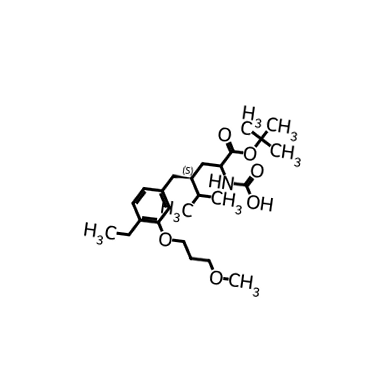 CCc1ccc(C[C@@H](CC(NC(=O)O)C(=O)OC(C)(C)C)C(C)C)cc1OCCCOC